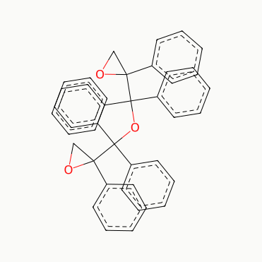 c1ccc(C2(C(OC(c3ccccc3)(c3ccccc3)C3(c4ccccc4)CO3)(c3ccccc3)c3ccccc3)CO2)cc1